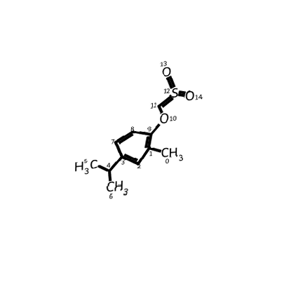 Cc1cc(C(C)C)ccc1OC=S(=O)=O